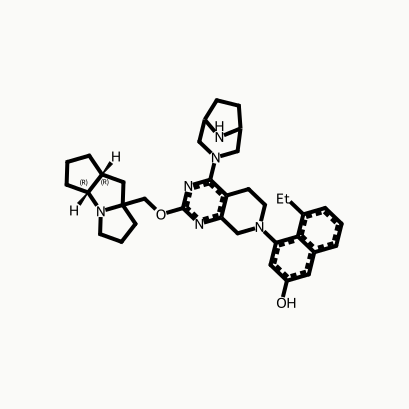 CCc1cccc2cc(O)cc(N3CCc4c(nc(OCC56CCCN5[C@@H]5CCC[C@@H]5C6)nc4N4CC5CCC(C4)N5)C3)c12